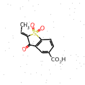 CC=C1C(=O)c2cc(C(=O)O)ccc2S1(=O)=O